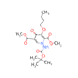 CCCCOc1c(C(=O)OC)n(NC(=O)OC(C)(C)C)cc(C(=O)OC)c1=O